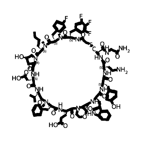 CCCC[C@H]1C(=O)N2C[C@H](O)C[C@@H]2C(=O)N[C@@H](CC(=O)O)C(=O)N[C@@H](C(C)C)C(=O)N(C)[C@@H](Cc2ccccc2)C(=O)N[C@@H](CCC(=O)O)C(=O)N2CCOC[C@@H]2C(=O)N[C@@H](Cc2c[nH]c3ccccc23)C(=O)N[C@@H](Cc2ccc(O)cc2)C(=O)N[C@@H](CCN)C(=O)N[C@H](C(=O)NCC(N)=O)CSCC(=O)N[C@@H](Cc2cc(F)c(F)c(F)c2)C(=O)N(C)[C@@H](Cc2ccc(F)cc2)C(=O)N1C